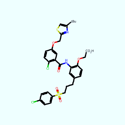 CC(C)(C)c1csc(COc2ccc(Cl)c(C(=O)Nc3cc(CCCS(=O)(=O)c4ccc(Cl)cc4)ccc3OCC(=O)O)c2)n1